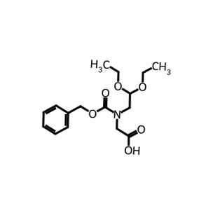 CCOC(CN(CC(=O)O)C(=O)OCc1ccccc1)OCC